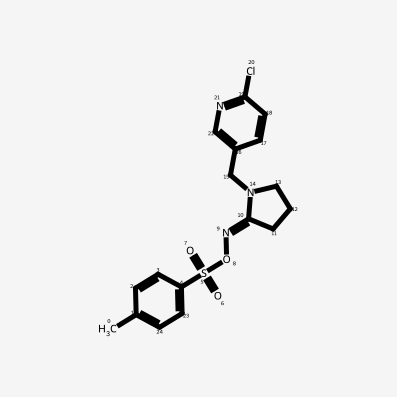 Cc1ccc(S(=O)(=O)O/N=C2\CCCN2Cc2ccc(Cl)nc2)cc1